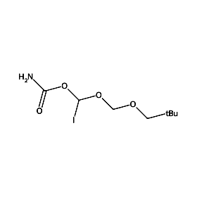 CC(C)(C)COCOC(I)OC(N)=O